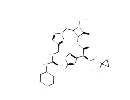 N=C(NCc1cnn(CC2C(NC(=O)/C(=N\OC3(C(=O)O)CC3)c3csc(N)n3)C(=O)N2S(=O)(=O)O)n1)NC1CCNCC1